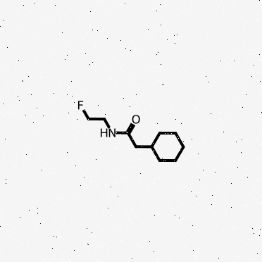 O=C(CC1CCCCC1)NCCF